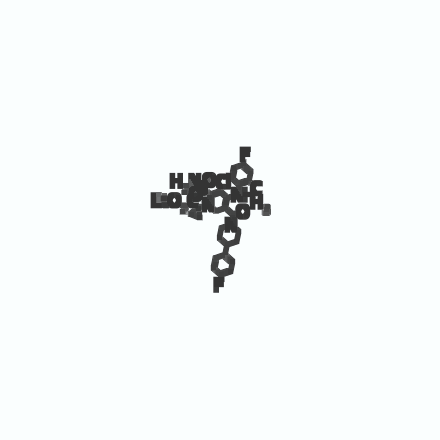 CCOC(=O)C1(N2CC(C(=O)N3CCC(c4ccc(F)cc4)CC3)=C(Nc3ccc(F)cc3C)C(Cl)=C2S(N)(=O)=O)CC1